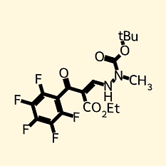 CCOC(=O)/C(=C\NN(C)C(=O)OC(C)(C)C)C(=O)c1c(F)c(F)c(F)c(F)c1F